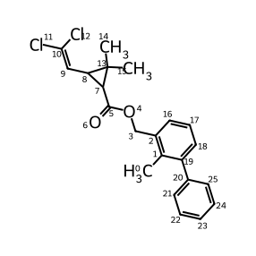 Cc1c(COC(=O)C2C(C=C(Cl)Cl)C2(C)C)cccc1-c1ccccc1